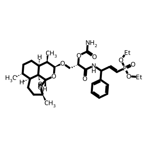 CCOP(=O)(/C=C/C(NC(=O)[C@H](CO[C@H]1O[C@@H]2O[C@@]3(C)CC[C@H]4[C@H](C)CC[C@@H]([C@H]1C)[C@@]24OO3)OC(N)=O)c1ccccc1)OCC